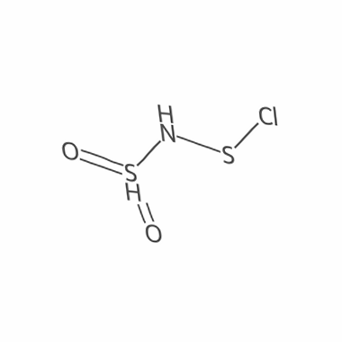 O=[SH](=O)NSCl